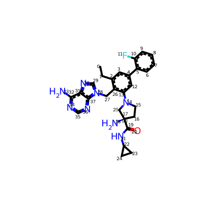 CCc1cc(-c2ccccc2F)cc(N2CC[C@](N)(C(=O)NC3CC3)C2)c1Cn1cnc2c(N)ncnc21